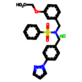 Cl.O=C(O)COc1cccc(CN(Cc2ccc(-n3cccn3)cc2)S(=O)(=O)c2ccccc2)c1